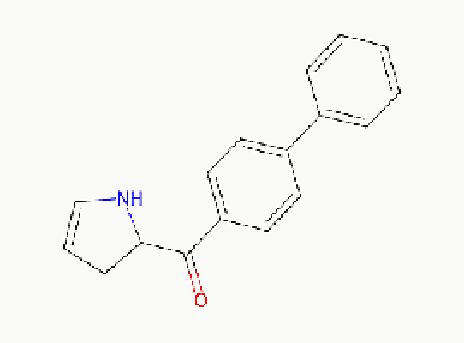 O=C(c1ccc(-c2ccccc2)cc1)C1CC=CN1